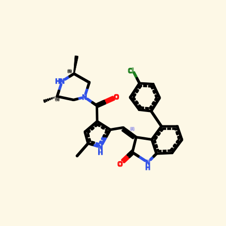 Cc1cc(C(=O)N2C[C@H](C)N[C@@H](C)C2)c(/C=C2\C(=O)Nc3cccc(-c4ccc(Cl)cc4)c32)[nH]1